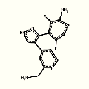 NCc1cc(-c2c[nH]nc2-c2c(F)ccc(N)c2F)ccn1